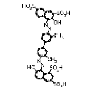 Cc1cc(-c2ccc(/N=N/c3c(O)ccc4cc(S(=O)(=O)O)cc(S(=O)(=O)O)c34)c(C)c2)ccc1/N=N/c1c(O)c(S(=O)(=O)O)cc2cc(S(=O)(=O)O)ccc12